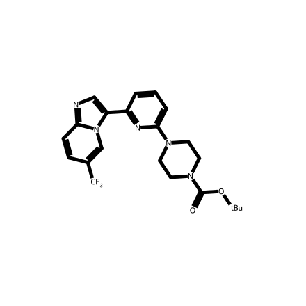 CC(C)(C)OC(=O)N1CCN(c2cccc(-c3cnc4ccc(C(F)(F)F)cn34)n2)CC1